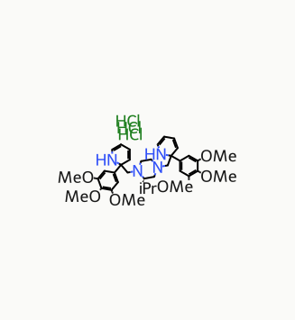 COc1cc(C2(CN3CCN(CC4(c5cc(OC)c(OC)c(OC)c5)C=CC=CN4)[C@@H](C(C)C)C3)C=CC=CN2)cc(OC)c1OC.Cl.Cl.Cl